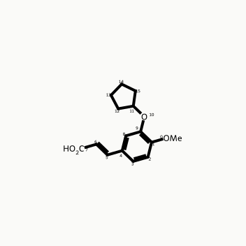 COc1ccc(C=CC(=O)O)cc1OC1CCCC1